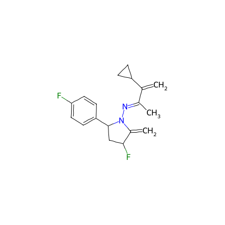 C=C(/C(C)=N/N1C(=C)C(F)CC1c1ccc(F)cc1)C1CC1